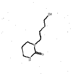 O=C1NCCCN1CCCCO